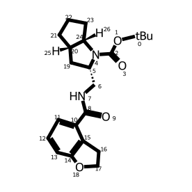 CC(C)(C)OC(=O)N1[C@H](CNC(=O)c2cccc3c2CCO3)C[C@@H]2CCC[C@@H]21